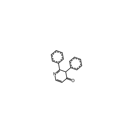 O=C1C=CN=C(c2ccccc2)C1c1ccccc1